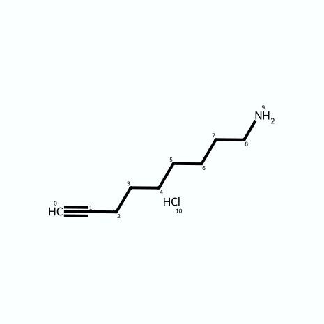 C#CCCCCCCCN.Cl